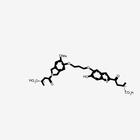 COc1cc2c(cc1OCCCOc1cc3cc(C(=O)C[C@H](C)C(=O)O)sc3cc1O)CN(C(=O)C[C@H](C)C(=O)O)C2